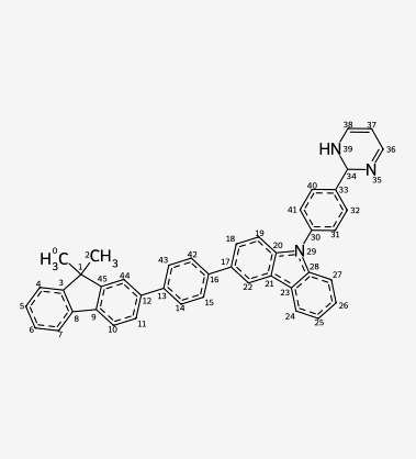 CC1(C)c2ccccc2-c2ccc(-c3ccc(-c4ccc5c(c4)c4ccccc4n5-c4ccc(C5N=CC=CN5)cc4)cc3)cc21